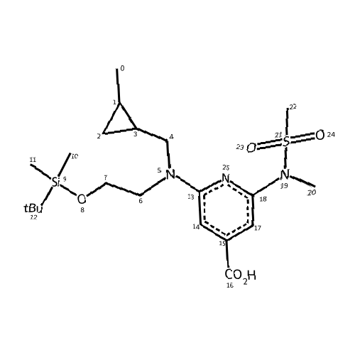 CC1CC1CN(CCO[Si](C)(C)C(C)(C)C)c1cc(C(=O)O)cc(N(C)S(C)(=O)=O)n1